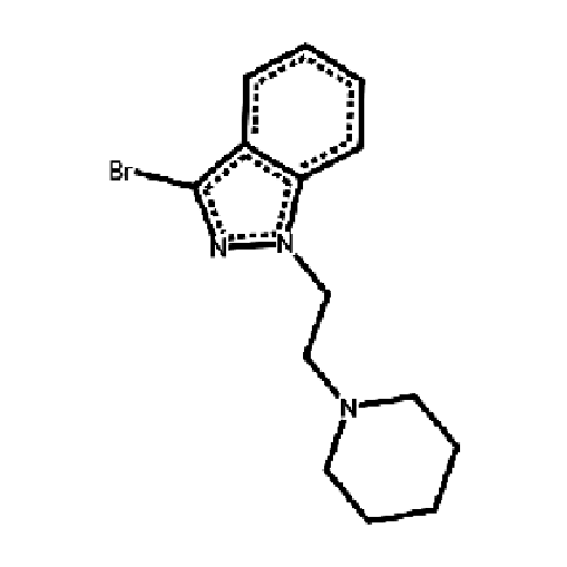 Brc1nn(CCN2CCCCC2)c2ccccc12